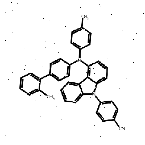 Cc1ccc(N(c2ccc(-c3ccccc3C)cc2)c2cccc3c2c2ccccc2n3-c2ccc(C#N)cc2)cc1